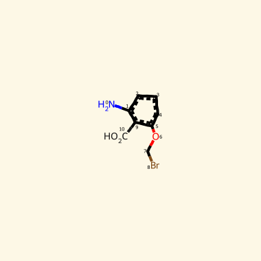 Nc1cccc(OCBr)c1C(=O)O